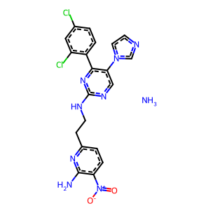 N.Nc1nc(CCNc2ncc(-n3ccnc3)c(-c3ccc(Cl)cc3Cl)n2)ccc1[N+](=O)[O-]